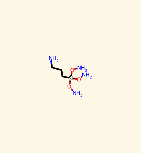 NCCC[Si](ON)(ON)ON